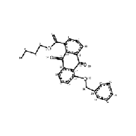 C=C(OCCCC)c1cccc2c1C(=O)c1cccc(OCc3ccccc3)c1C2=O